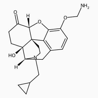 NCOc1ccc2c3c1O[C@H]1C(=O)CC[C@@]4(O)[C@@H](C2)N(CC2CC2)CC[C@]314